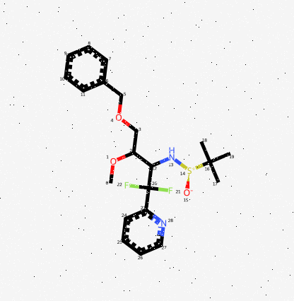 COC(COCc1ccccc1)C(N[S@+]([O-])C(C)(C)C)C(F)(F)c1ccccn1